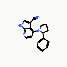 N#Cc1c[nH]c2nccc(N3CCCC3c3ccccc3)c12